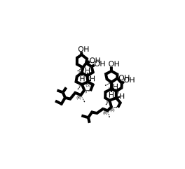 CC(C)CCC[C@@H](C)[C@H]1CC[C@H]2[C@@H]3CC(O)C4(O)CC(O)CC[C@]4(C)[C@H]3CC[C@]12C.CCC(CC[C@@H](C)[C@H]1CC[C@H]2[C@@H]3CC(O)C4(O)CC(O)CC[C@]4(C)[C@H]3CC[C@]12C)C(C)C